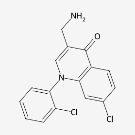 NCc1cn(-c2ccccc2Cl)c2cc(Cl)ccc2c1=O